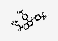 CC(=O)N1CCC(c2c(Oc3ccc(C(F)(F)F)cc3)ccc3c2CN(C(=O)CCS(C)(=O)=O)CC3)CC1